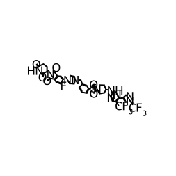 O=C1CCC(N2C(=O)c3cc(F)c(N4CCN(Cc5cccc(S(=O)(=O)N6CCC(Nc7ncc(C(F)(F)F)c(-c8cnn(CC(F)(F)F)c8)n7)CC6)c5)CC4)cc3C2=O)C(=O)N1